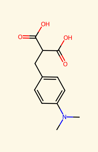 CN(C)c1ccc(CC(C(=O)O)C(=O)O)cc1